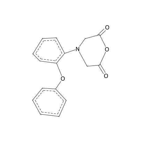 O=C1CN(c2ccccc2Oc2ccccc2)CC(=O)O1